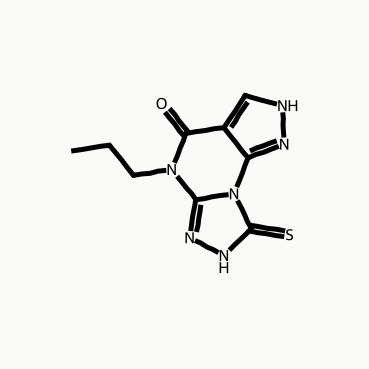 CCCn1c(=O)c2c[nH]nc2n2c(=S)[nH]nc12